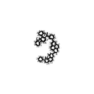 C1=CC2=CC=C(c3cnc4c(ccc5ccc(-c6ccccc6)nc54)c3)C3=CC=C4C=C(c5cccc(-c6nc7ccccc7c7c6ccc6c8ccccc8oc67)c5)C=C1C4C23